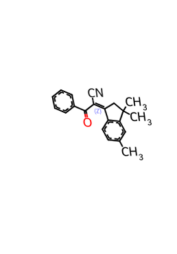 Cc1ccc2c(c1)C(C)(C)C/C2=C(\C#N)C(=O)c1ccccc1